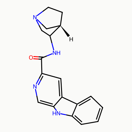 O=C(NC1CN2CC[C@H]1C2)c1cc2c(cn1)[nH]c1ccccc12